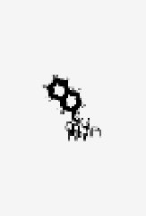 CCCO[SiH](OCCC)c1ccc2ccccc2c1